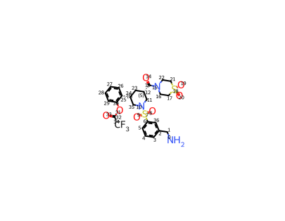 NCc1cccc(S(=O)(=O)N2C[C@@H](C(=O)N3CCS(=O)(=O)CC3)C[C@@H](c3ccccc3OC(=O)C(F)(F)F)C2)c1